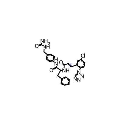 NC(=O)NCc1ccc(NC(=O)C(Cc2ccccc2)NC(=O)/C=C/c2cc(Cl)ccc2-n2cnnn2)cc1